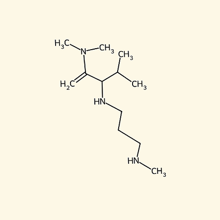 C=C(C(NCCCNC)C(C)C)N(C)C